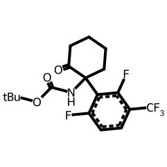 CC(C)(C)OC(=O)NC1(c2c(F)ccc(C(F)(F)F)c2F)CCCCC1=O